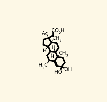 CC(=O)[C@@]1(CC(=O)O)CC[C@H]2[C@@H]3C[C@H](C)C4=CC(O)(O)CC[C@]4(C)[C@H]3CC[C@@]21C